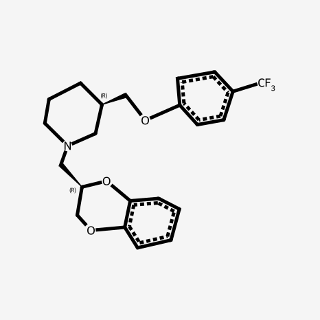 FC(F)(F)c1ccc(OC[C@@H]2CCCN(C[C@@H]3COc4ccccc4O3)C2)cc1